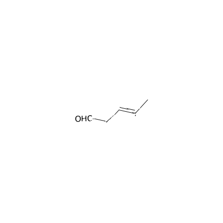 C/[C]=C/CC=O